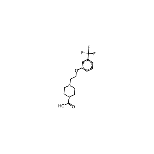 O=C(O)N1CCN(CCOc2cccc(C(F)(F)F)c2)CC1